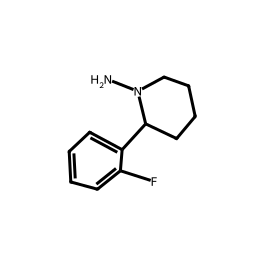 NN1CCCCC1c1ccccc1F